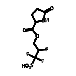 O=C1CCC(C(=O)OCC(F)C(F)(F)S(=O)(=O)O)N1